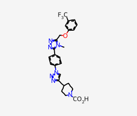 Cn1c(COc2cccc(C(F)(F)F)c2)nnc1-c1ccc(-n2cc(C3CCN(C(=O)O)CC3)nn2)cc1